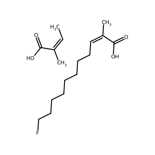 CC(=CCCCCCCCCF)C(=O)O.CC=C(C)C(=O)O